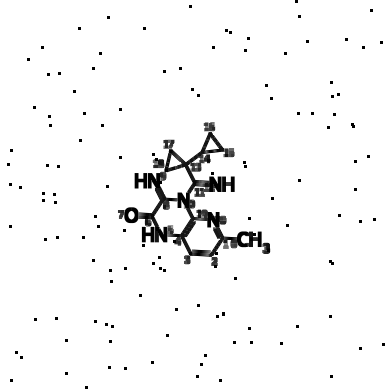 Cc1ccc2[nH]c(=O)c(=N)n(C(=N)C3(C4CC4)CC3)c2n1